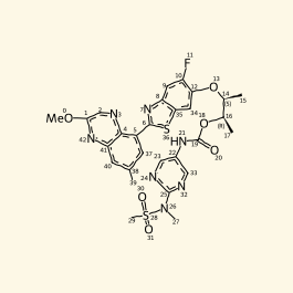 COc1cnc2c(-c3nc4cc(F)c(O[C@@H](C)[C@@H](C)OC(=O)Nc5cnc(N(C)S(C)(=O)=O)nc5)cc4s3)cc(C)cc2n1